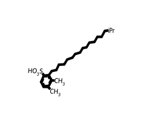 Cc1ccc(S(=O)(=O)O)c(CCCCCCCCCCCCCCCC(C)C)c1C